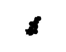 CCc1nc2cccc3c2n1-c1ccc(-c2c4ccccc4c(-c4ccc5c(ccc6ccccc65)c4)c4ccccc24)cc1N3c1ccccc1